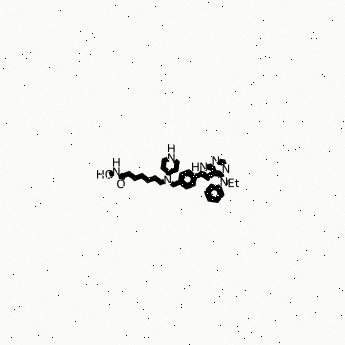 CCN(c1ccccc1)c1ncnc2[nH]c(-c3ccc(CN(CCCCCCC(=O)NO)C4CCNCC4)cc3)cc12